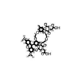 Cc1ccc2c(c1)OCCOc1cc(-c3c4ccc(=[N+](C)C)cc-4oc4cc(N(C)C)ccc34)ccc1N(CC(=O)N(CC(=O)O)CC(=O)O)CCOCCN2CC(=O)N(CC(=O)O)CC(=O)O